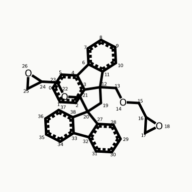 c1ccc2c(c1)-c1ccccc1C2(COCC1CO1)CC1(COCC2CO2)c2ccccc2-c2ccccc21